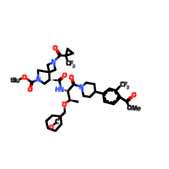 COC(=O)c1ccc(C2CCN(C(=O)[C@@H](NC(=O)[C@@H]3CN(C(=O)OC(C)(C)C)CC34CN(C(=O)C3(C(F)(F)F)CC3)C4)[C@@H](C)OCC34CCC(CC3)OC4)CC2)cc1C(F)(F)F